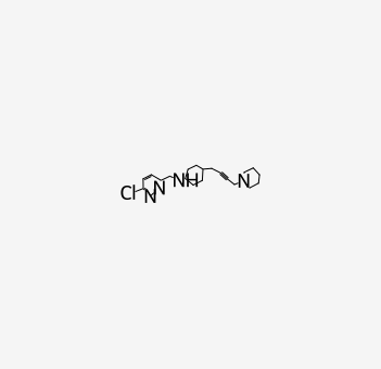 Clc1ccc(CNC2CCC(CC#CCN3CCCCC3)CC2)nn1